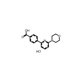 Cl.O=C(O)c1ccc(-c2cccc(N3CCOCC3)n2)cc1